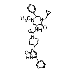 CN1C[C@@H](NC(=O)N2CCC(n3cc(-c4ccccc4)[nH]c3=O)CC2)C(=O)N(CC2CC2)C[C@@H]1c1ccccc1